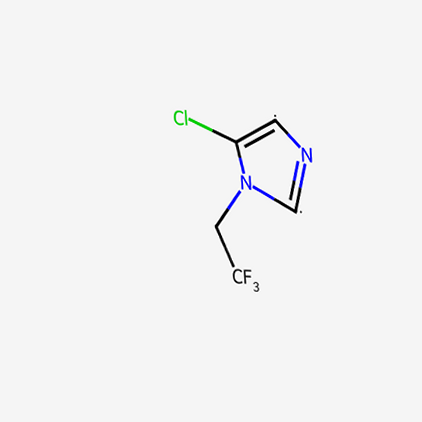 FC(F)(F)Cn1[c]n[c]c1Cl